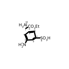 CCOC(C)=O.Nc1cccc(S(=O)(=O)O)c1.[AlH3]